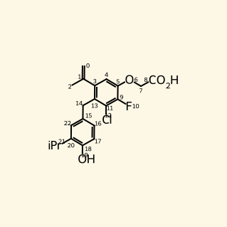 C=C(C)c1cc(OCC(=O)O)c(F)c(Cl)c1Cc1ccc(O)c(C(C)C)c1